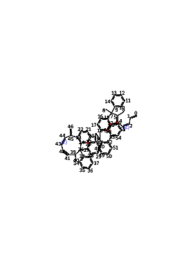 C=C/C=C\C1=C(C)C(C)(c2ccccc2)c2ccc(N(c3ccc4c(c3)C(c3ccccc3)(c3ccccc3)C(C)C#C/C=C\C4=C)c3ccccc3-c3ccccc3)cc21